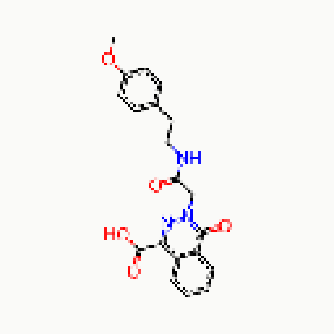 COc1ccc(CCNC(=O)Cn2nc(C(=O)O)c3ccccc3c2=O)cc1